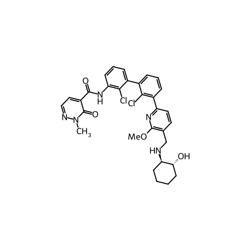 COc1nc(-c2cccc(-c3cccc(NC(=O)c4ccnn(C)c4=O)c3Cl)c2Cl)ccc1CN[C@@H]1CCCC[C@H]1O